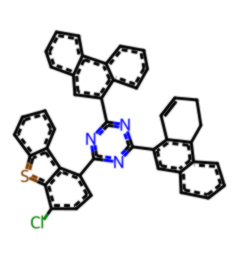 Clc1ccc(-c2nc(-c3cc4ccccc4c4c3C=CCC4)nc(-c3cc4ccccc4c4ccccc34)n2)c2c1sc1ccccc12